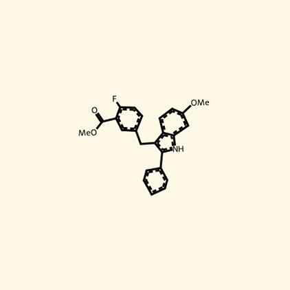 COC(=O)c1cc(Cc2c(-c3ccccc3)[nH]c3cc(OC)ccc23)ccc1F